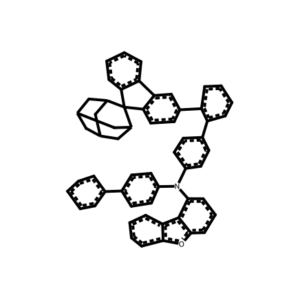 c1ccc(-c2ccc(N(c3ccc(-c4ccccc4-c4ccc5c(c4)-c4ccccc4C54C5CC6CC(C5)CC4C6)cc3)c3cccc4oc5ccccc5c34)cc2)cc1